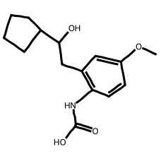 COc1ccc(NC(=O)O)c(CC(O)C2CCCC2)c1